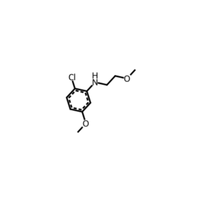 COCCNc1cc(OC)ccc1Cl